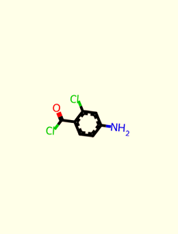 Nc1ccc(C(=O)Cl)c(Cl)c1